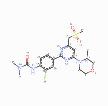 C[C@H]1COCCN1c1cc(CS(C)(=O)=O)nc(-c2ccc(NC(=O)N(C)C)c(F)c2)n1